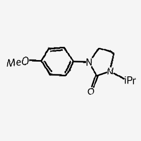 COc1ccc(N2CCN(C(C)C)C2=O)cc1